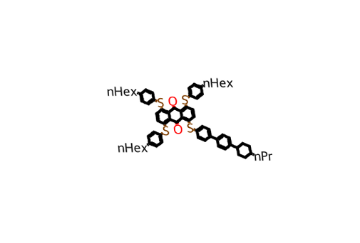 CCCCCCc1ccc(Sc2ccc(Sc3ccc(CCCCCC)cc3)c3c2C(=O)c2c(Sc4ccc(CCCCCC)cc4)ccc(Sc4ccc(-c5ccc(C6CCC(CCC)CC6)cc5)cc4)c2C3=O)cc1